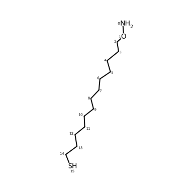 NOCCCCCCCCCCCCCS